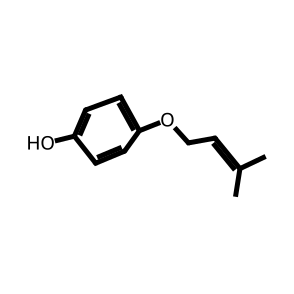 CC(C)=CCOc1ccc(O)cc1